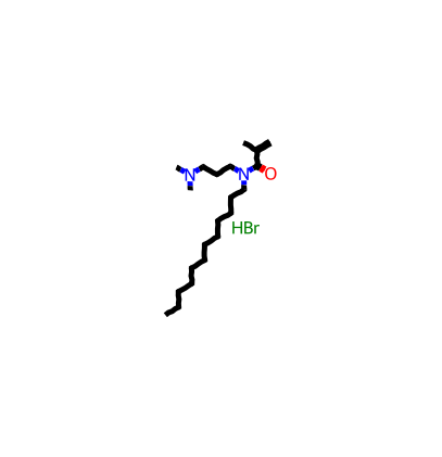 Br.C=C(C)C(=O)N(CCCCCCCCCCCC)CCCN(C)C